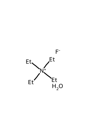 CC[N+](CC)(CC)CC.O.[F-]